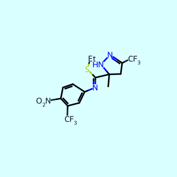 CCS/C(=N\c1ccc([N+](=O)[O-])c(C(F)(F)F)c1)C1(C)CC(C(F)(F)F)=NN1